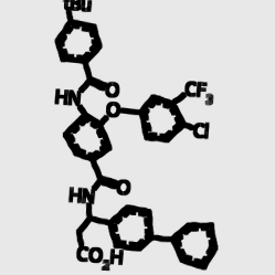 CC(C)(C)c1ccc(C(=O)Nc2ccc(C(=O)NC(CC(=O)O)c3ccc(-c4ccccc4)cc3)cc2Oc2ccc(Cl)c(C(F)(F)F)c2)cc1